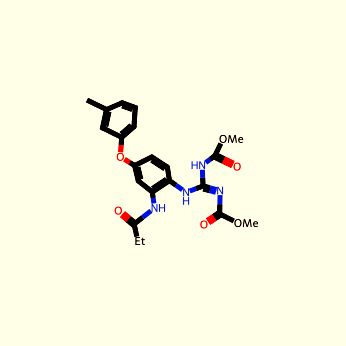 CCC(=O)Nc1cc(Oc2cccc(C)c2)ccc1NC(=NC(=O)OC)NC(=O)OC